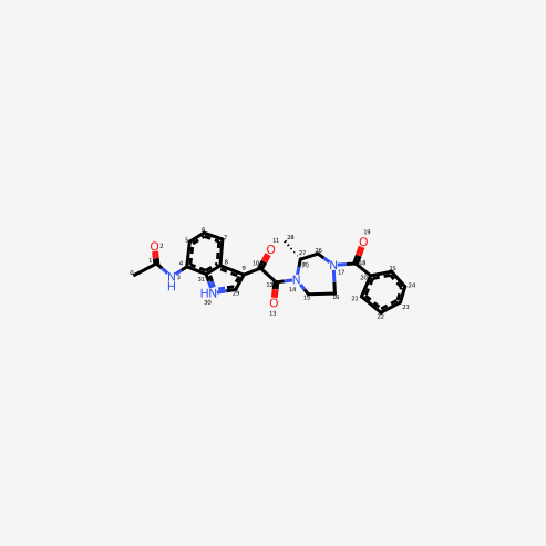 CC(=O)Nc1cccc2c(C(=O)C(=O)N3CCN(C(=O)c4ccccc4)C[C@H]3C)c[nH]c12